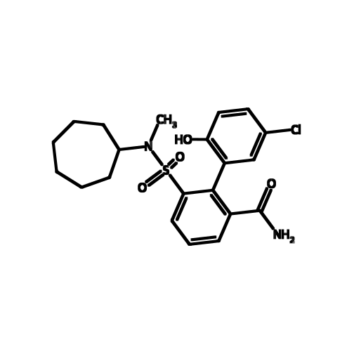 CN(C1CCCCCC1)S(=O)(=O)c1cccc(C(N)=O)c1-c1cc(Cl)ccc1O